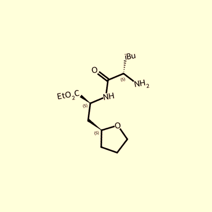 CCOC(=O)[C@H](C[C@@H]1CCCO1)NC(=O)[C@@H](N)C(C)CC